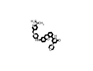 CN(C)c1ccc(CN2CCC(Nc3ccc4c(c3)Cc3cccc(-c5cc(N6CCOCC6)cc(=O)[nH]5)c3O4)CC2)cn1